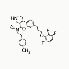 Cc1ccc(CCN(C(=O)C2=C(c3ccc(CCCOc4c(F)ccc(F)c4F)cc3)CCNC2)C2CC2)cc1